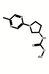 Cc1cnc(N2CC[C@@H](NC(=O)OC(C)(C)C)C2)cn1